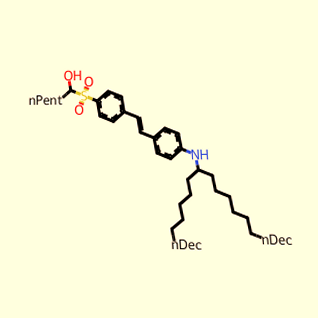 CCCCCCCCCCCCCCCCC(CCCCCCCCCCCCCCC)Nc1ccc(C=Cc2ccc(S(=O)(=O)C(O)CCCCC)cc2)cc1